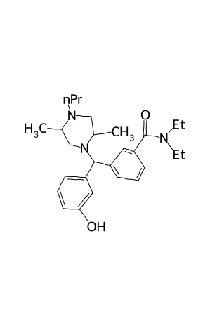 CCCN1CC(C)N(C(c2cccc(O)c2)c2cccc(C(=O)N(CC)CC)c2)CC1C